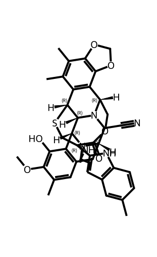 COc1c(C)cc2c(c1O)[C@@H]1[C@@H]3[C@@H]4SC[C@]5(NCCc6c5[nH]c5ccc(C)cc65)C(=O)OC[C@@H](c5c6c(c(C)c(C)c54)OCO6)N3C(C#N)[C@H](C2)N1C